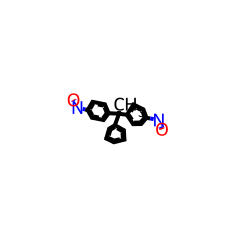 CC(c1ccccc1)(c1ccc(N=O)cc1)c1ccc(N=O)cc1